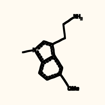 COc1ccc2c(c1)c(CCN)cn2C